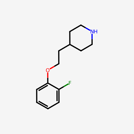 Fc1ccccc1OCCC1CCNCC1